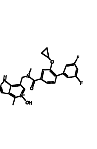 Cc1c2cn[nH]c2c(CN(C)C(=O)c2ccc(-c3cc(F)cc(F)c3)c(OC3CC3)c2)c[n+]1O